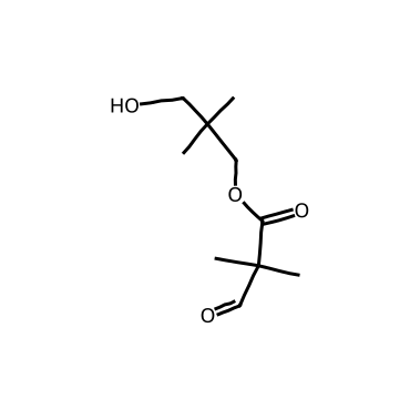 CC(C)(CO)COC(=O)C(C)(C)C=O